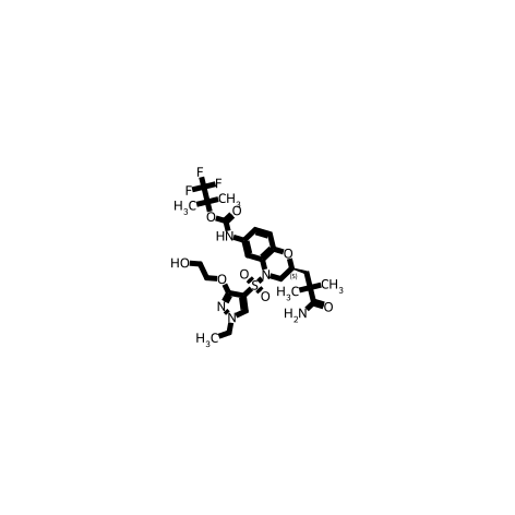 CCn1cc(S(=O)(=O)N2C[C@H](CC(C)(C)C(N)=O)Oc3ccc(NC(=O)OC(C)(C)C(F)(F)F)cc32)c(OCCO)n1